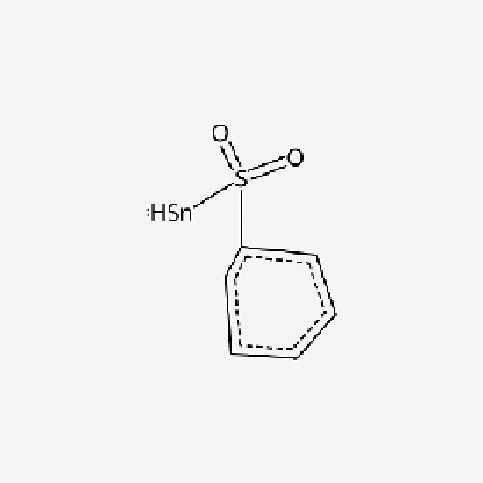 O=[S](=O)([SnH])c1ccccc1